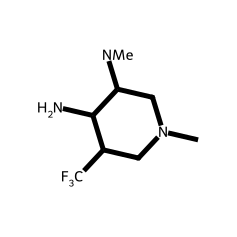 CNC1CN(C)CC(C(F)(F)F)C1N